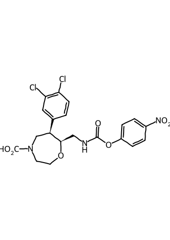 O=C(NC[C@H]1OCCN(C(=O)O)C[C@H]1c1ccc(Cl)c(Cl)c1)Oc1ccc([N+](=O)[O-])cc1